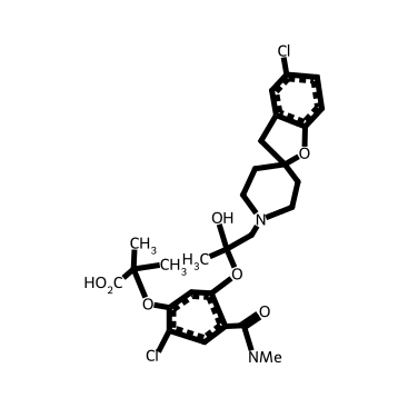 CNC(=O)c1cc(Cl)c(OC(C)(C)C(=O)O)cc1OC(C)(O)CN1CCC2(CC1)Cc1cc(Cl)ccc1O2